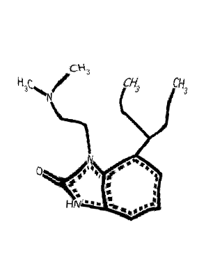 CCC(CC)c1cccc2[nH]c(=O)n(CCN(C)C)c12